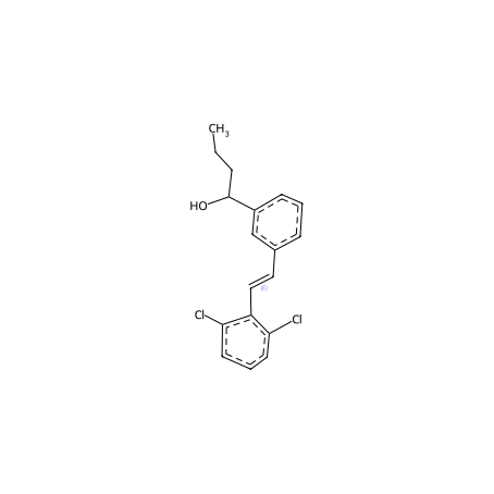 CCCC(O)c1cccc(/C=C/c2c(Cl)cccc2Cl)c1